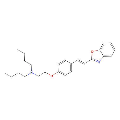 CCCCN(CCCC)CCOc1ccc(C=Cc2nc3ccccc3o2)cc1